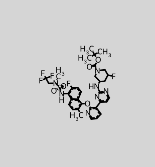 Cc1ccc2c(NS(=O)(=O)N(C)CC(F)(F)F)c(F)ccc2c1Oc1ncccc1-c1ccnc(NC2CC(F)CN(C(=O)OC(C)(C)C)C2)n1